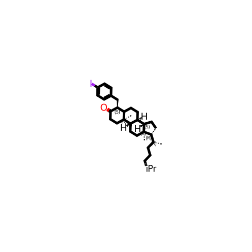 CC(C)CCC[C@@H](C)[C@H]1CC[C@H]2[C@@H]3CCC4[C@H](Cc5ccc(I)cc5)C(=O)CC[C@]4(C)[C@H]3CC[C@]12C